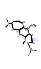 C=CC1=C(/C=C\CN(C)C)N(C(C)=O)c2ccc(N(C)C)cc2S1